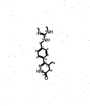 CN=C(NC)NCc1ccc(C2=NNC(=O)CC2C)cc1